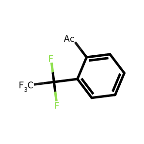 [CH2]C(=O)c1ccccc1C(F)(F)C(F)(F)F